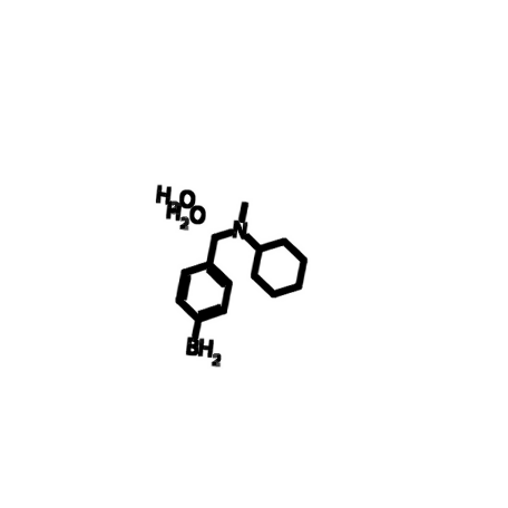 Bc1ccc(CN(C)C2CCCCC2)cc1.O.O